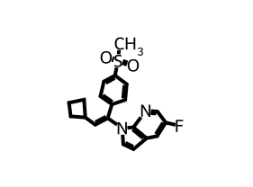 CS(=O)(=O)c1ccc(C(=CC2CCC2)n2ccc3cc(F)cnc32)cc1